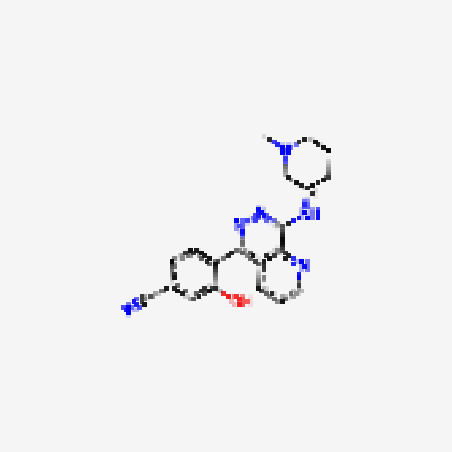 CN1CCC[C@@H](Nc2nnc(-c3ccc(C#N)cc3O)c3cccnc23)C1